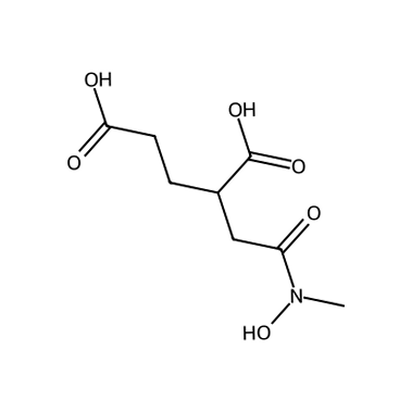 CN(O)C(=O)CC(CCC(=O)O)C(=O)O